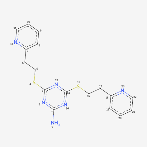 Nc1nc(SCCc2ccccn2)nc(SCCc2ccccn2)n1